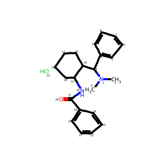 CN(C)C(c1ccccc1)C1CCCCC1NC(=O)c1ccccc1.Cl